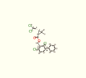 CC1(C)[C@@H](C=C(Cl)Cl)[C@@H]1C(=O)OCc1c(Cl)ccc(-c2ccccc2)c1Cl